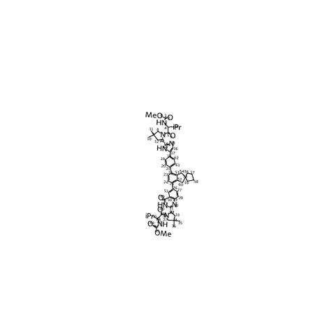 COC(=O)NC(C(=O)N1CC(C)(C)C[C@H]1c1ncc(-c2ccc(-c3ccc(-c4ccc5nc([C@@H]6CC(C)(C)CN6C(=O)[C@@H](NC(=O)OC)C(C)C)[nH]c(=O)c5c4)c4c3CC3(CCCC3)C4)cc2)[nH]1)C(C)C